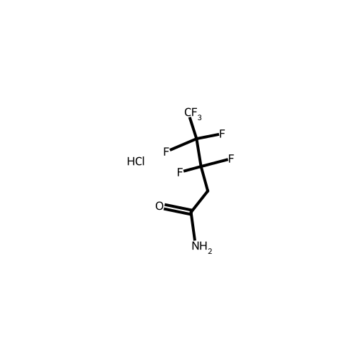 Cl.NC(=O)CC(F)(F)C(F)(F)C(F)(F)F